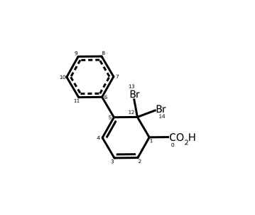 O=C(O)C1C=CC=C(c2ccccc2)C1(Br)Br